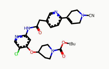 CC(C)(C)OC(=O)N1CCC(Oc2cc(NC(=O)Cc3ccc(C4=CCN(C#N)CC4)nc3)ncc2Cl)CC1